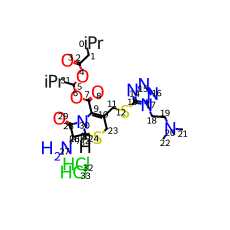 CC(C)CC(=O)OC(OC(=O)C1=C(CSc2nnnn2CCN(C)C)CS[C@@H]2[C@H](N)C(=O)N12)C(C)C.Cl.Cl